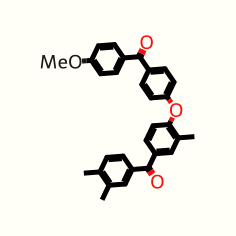 COc1ccc(C(=O)c2ccc(Oc3ccc(C(=O)c4ccc(C)c(C)c4)cc3C)cc2)cc1